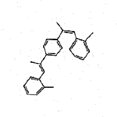 CC(=Cc1ccccc1C)c1ccc(C(C)=Cc2ccccc2C)cc1